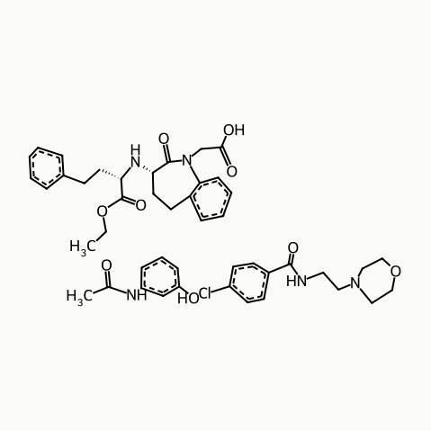 CC(=O)Nc1cccc(O)c1.CCOC(=O)[C@H](CCc1ccccc1)N[C@H]1CCc2ccccc2N(CC(=O)O)C1=O.O=C(NCCN1CCOCC1)c1ccc(Cl)cc1